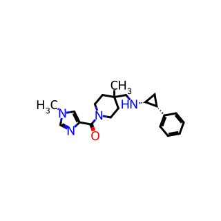 Cn1cnc(C(=O)N2CCC(C)(CN[C@@H]3C[C@@H]3c3ccccc3)CC2)c1